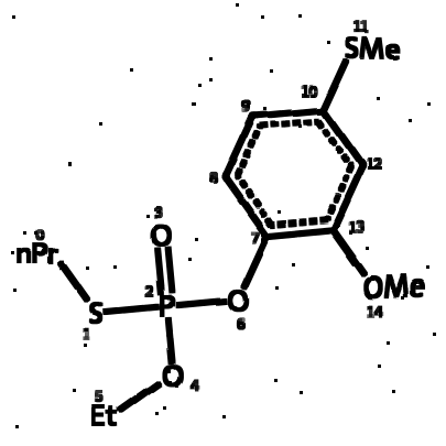 CCCSP(=O)(OCC)Oc1ccc(SC)cc1OC